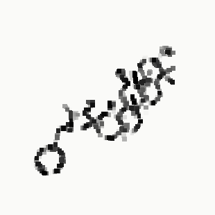 CN(OCc1ccccc1)C(=O)[C@@]1(C)CC[C@]2(C)CC[C@]3(C)C(=CC(=O)[C@@H]4[C@@]5(C)CC[C@H](O)C(C)(C)C5CC[C@]43C)[C@@H]2C1